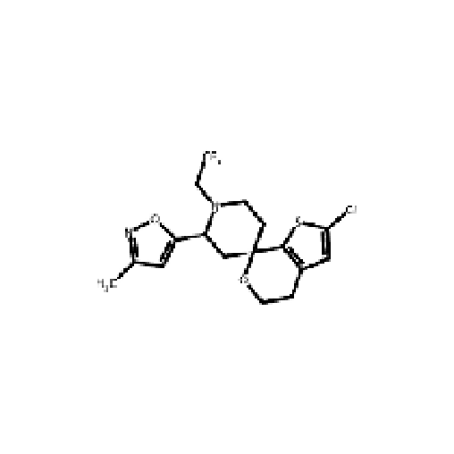 Cc1cc([C@@H]2C[C@]3(CCN2CC(F)(F)F)OCCc2cc(Cl)sc23)on1